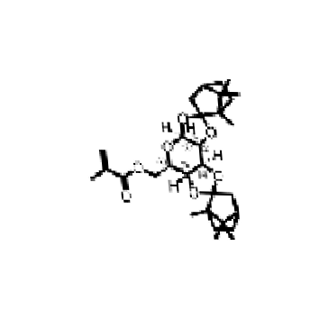 C=C(C)C(=O)OC[C@H]1O[C@H]2OC3(CC4CCC3(C)C4(C)C)O[C@H]2[C@H]2OC3(CC4CCC3(C)C4(C)C)O[C@@H]21